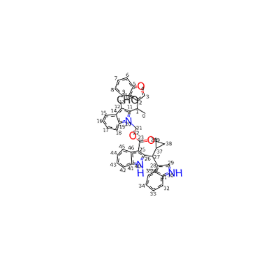 CC(c1coc2ccccc12)c1c(C=O)c2ccccc2n1COC(=O)c1c(C(c2c[nH]c3ccccc23)C2CC2)[nH]c2ccccc12